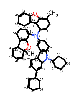 CC1CCC(N(C2=CC3=C(CC2)N(C2CCCCC2)C2C=C(C4C=CCCC4)C=CC32)C2=CCCC3=C2OC2(C)C=CC=CC32)C2C3=C(C=CCC3)OC12